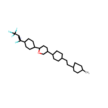 CC1CCC(CCC2CCC(C3CCC(C4CCC(/C(F)=C/C(F)(F)F)CC4)OC3)CC2)CC1